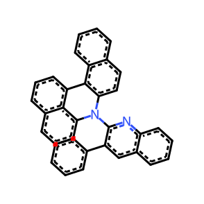 c1ccc(-c2cc3ccccc3nc2N2c3ccc4ccccc4c3-c3cccc4cccc2c34)cc1